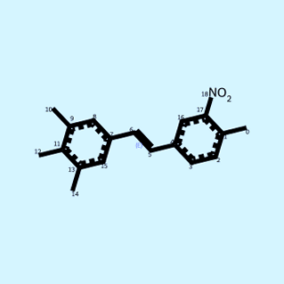 Cc1ccc(/C=C/c2cc(C)c(C)c(C)c2)cc1[N+](=O)[O-]